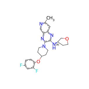 Cc1cc2nc(N[C@@H]3CCOC3)c(N3CCC(Oc4ccc(F)cc4F)CC3)nc2cn1